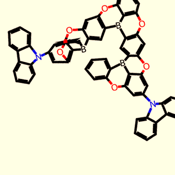 c1ccc2c(c1)Oc1cc(-n3c4ccccc4c4ccccc43)cc3c1B2c1cc2c(cc1O3)Oc1cccc3c1B2c1cc2c(cc1O3)Oc1cc(-n3c4ccccc4c4ccccc43)cc3c1B2c1ccccc1O3